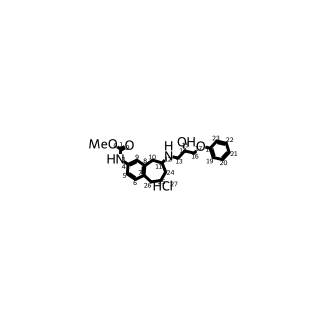 COC(=O)Nc1ccc2c(c1)CC(NC[C@H](O)COc1ccccc1)CCC2.Cl